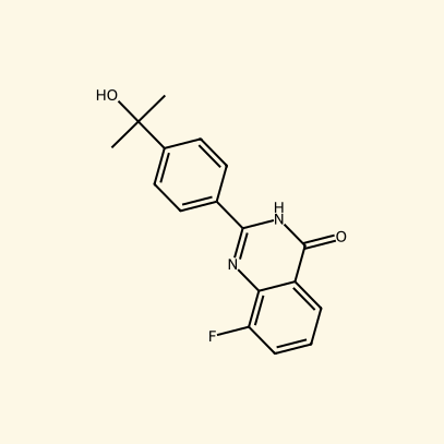 CC(C)(O)c1ccc(-c2nc3c(F)cccc3c(=O)[nH]2)cc1